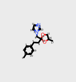 Cc1ccc(CCC2(Cn3ccnc3)OCC(C)O2)cc1